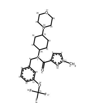 Cn1ccc(C(=O)N(Cc2cccc(OC(F)(F)F)c2)C2CCC(N3CCOCC3)CC2)n1